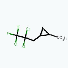 O=C(O)C1CC1CC(Cl)(Cl)C(F)(F)Cl